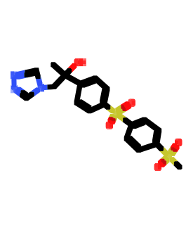 CC(O)(Cn1cnnc1)c1ccc(S(=O)(=O)c2ccc(S(C)(=O)=O)cc2)cc1